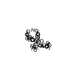 C[N+]1(Cc2ccc3c(c2)OCO3)CCC[C@H](N(C(=O)Nc2ccc(OS(=O)(=O)c3ccc(Cl)s3)cc2)C(=O)[C@@H](N)Cc2ccc(O)cc2)C1.O=C([O-])C(F)(F)F